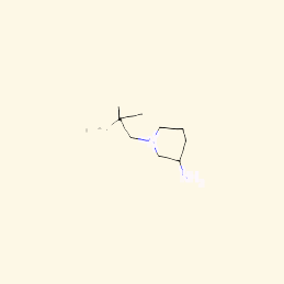 CCCCCCC(C)(CCCC)CN1CCCC(N)C1